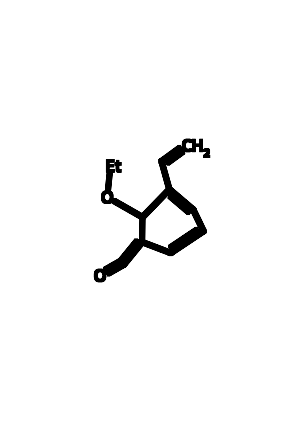 C=CC1=CC=CC(=C=O)C1OCC